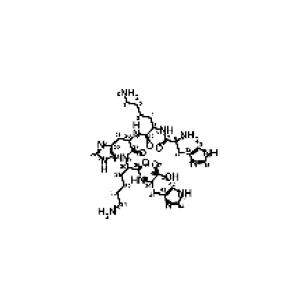 NCCCCC(NC(=O)C(N)Cc1c[nH]cn1)C(=O)NC(Cc1c[nH]cn1)C(=O)NC(CCCCN)C(=O)NC(Cc1c[nH]cn1)C(=O)O